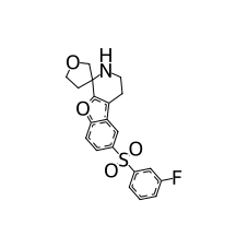 O=S(=O)(c1cccc(F)c1)c1ccc2oc3c(c2c1)CCNC31CCOC1